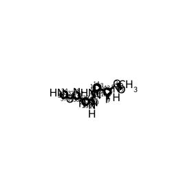 CS(=O)(=O)NCc1cc(F)cc(-c2cccc3[nH]c(-c4n[nH]c5cnc(-c6cncc(OC7CCNCC7)c6)cc45)nc23)c1